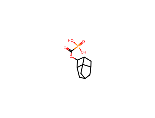 O=C(OC1C2CC3CC(C2)CC1C3)P(=O)(O)O